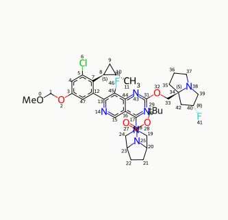 COCOc1cc(Cl)c([C@H]2C[C@@H]2C)c(-c2ncc3c(N4CC5CCC(C4)N5C(=O)OC(C)(C)C)nc(OC[C@@]45CCCN4C[C@H](F)C5)nc3c2F)c1